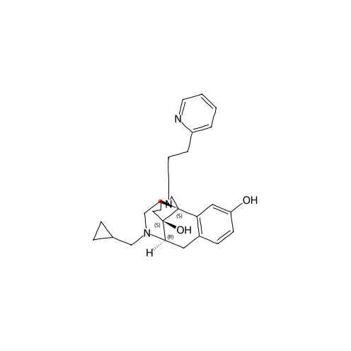 Oc1ccc2c(c1)[C@]13CCN(CC4CC4)[C@H](C2)[C@]1(O)CCCN(CCc1ccccn1)C3